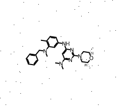 Cc1ccc(Nc2cc(N(C)C)nc(N3C[C@@H](C)O[C@@H](C)C3)n2)cc1N(C)Cc1ccccc1